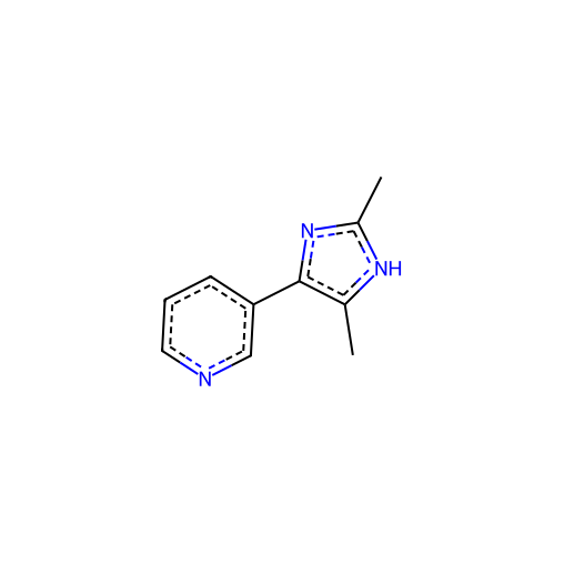 Cc1nc(-c2cccnc2)c(C)[nH]1